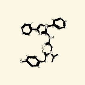 CC(C)N(CC(=O)Nc1nc(-c2ccccc2)cn1-c1ccccc1)C(=O)Cc1ccc(Cl)cc1